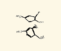 CCCCCCCCc1ccc(S(=O)(=O)O)cc1F.CCCCCCCCc1ccc(S(=O)(=O)O)cc1F